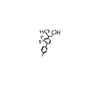 Cc1ccc(-c2ccc(C(CO)CO)c(F)c2F)cc1